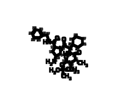 C[C@@H](C(=O)NC(C(=O)N1CC(N)CC1C(=O)NCc1ccccc1)C1CCCCC1)N(C)C(=O)OC(C)(C)C